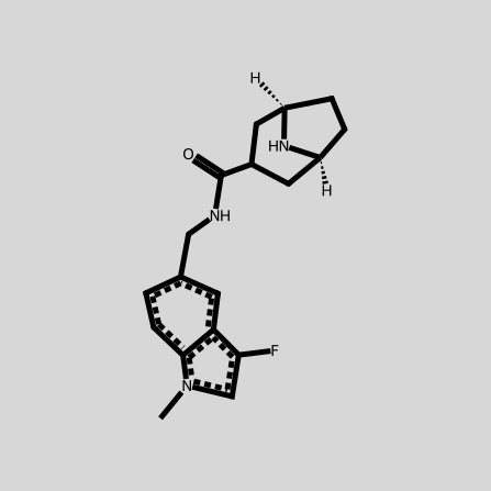 Cn1cc(F)c2cc(CNC(=O)C3C[C@H]4CC[C@@H](C3)N4)ccc21